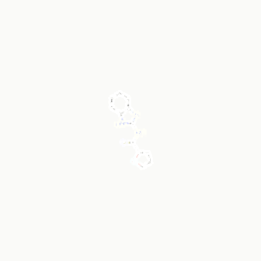 S=C(Nc1nc2ccccc2[nH]1)c1ccco1